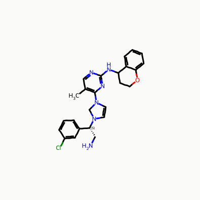 Cc1cnc(NC2CCOc3ccccc32)nc1N1C=CN([C@H](CN)c2cccc(Cl)c2)C1